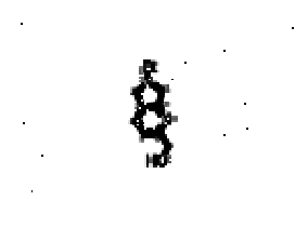 CCN1Cc2ccc(CO)nc2C1